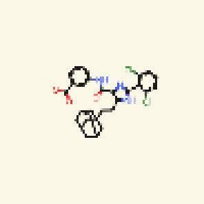 O=C(O)c1cccc(NC(=O)c2nc(-c3c(Cl)cccc3Cl)[nH]c2CCC23CC4CC(CC(C4)C2)C3)c1